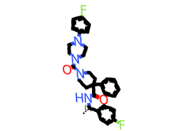 C[C@H](NC(=O)C1(c2ccccc2)CCN(C(=O)N2CCN(c3ccc(F)cc3)CC2)CC1)c1ccc(F)cc1